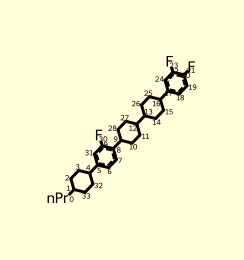 CCCC1CCC(c2ccc(C3CCC(C4CCC(c5ccc(F)c(F)c5)CC4)CC3)c(F)c2)CC1